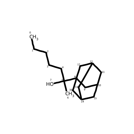 CCCCCC(C)(O)C12CC3CC(CC(C3)C1)C2